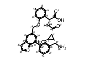 C[C@@H]1C[C@H]1C(=O)N[C@H](C(=O)O)c1ccccc1OCc1cc(-c2cccc(CN)c2)c2occc2c1